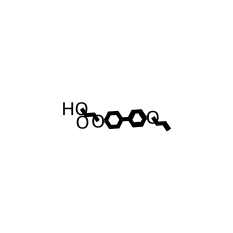 C=CCOc1ccc(C2CCC(OCC(=O)O)CC2)cc1